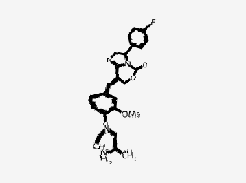 C=CN(/C=C(/C)N)c1ccc(/C=C2\COC(=O)N3C2=NCC3c2ccc(F)cc2)cc1OC